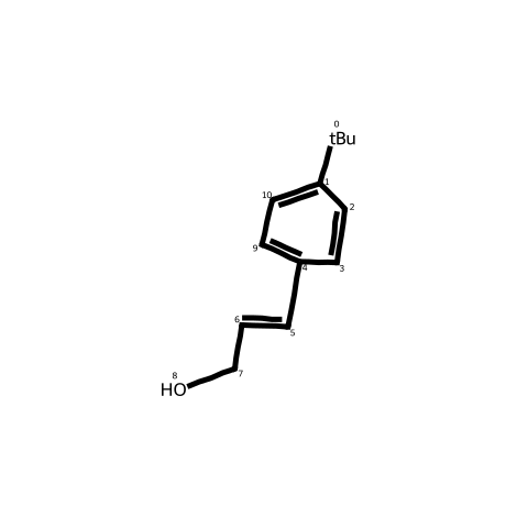 CC(C)(C)c1ccc(C=CCO)cc1